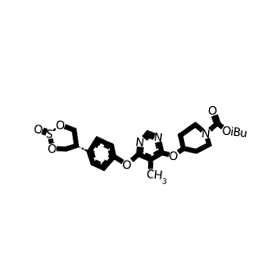 Cc1c(Oc2ccc([C@H]3CO[S@@](=O)OC3)cc2)ncnc1OC1CCN(C(=O)OCC(C)C)CC1